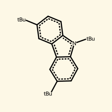 CC(C)(C)c1ccc2c(c1)c1cc(C(C)(C)C)ccc1n2C(C)(C)C